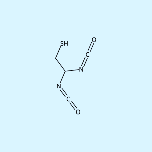 O=C=NC(CS)N=C=O